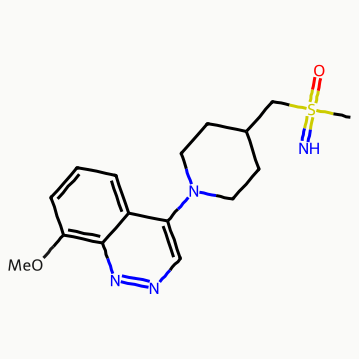 COc1cccc2c(N3CCC(CS(C)(=N)=O)CC3)cnnc12